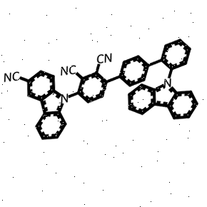 N#Cc1ccc2c(c1)c1ccccc1n2-c1ccc(-c2ccc(-c3ccccc3-n3c4ccccc4c4ccccc43)cc2)c(C#N)c1C#N